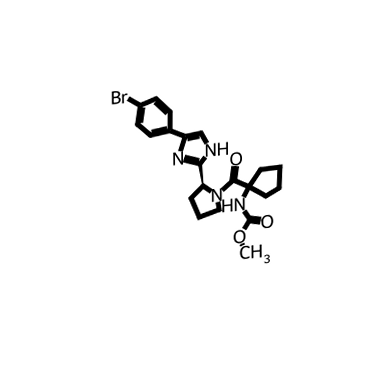 COC(=O)NC1(C(=O)N2CCC[C@H]2c2nc(-c3ccc(Br)cc3)c[nH]2)CCCC1